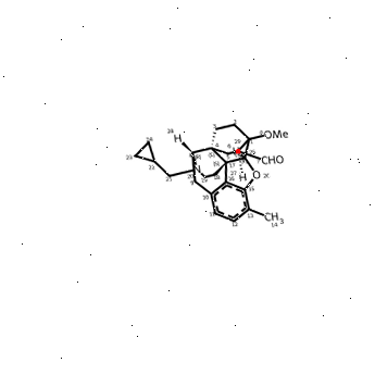 COC12CC[C@@]3(C[C@@H]1C=O)[C@H]1Cc4ccc(C)c5c4[C@@]3(CCN1CC1CC1)[C@H]2O5